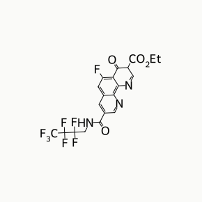 CCOC(=O)C1C=Nc2c(c(F)cc3cc(C(=O)NCC(F)(F)C(F)(F)C(F)(F)F)cnc23)C1=O